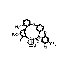 Cc1cccc2c1-c1cc(c(F)c(C(F)(F)F)c1)[C@H](CC(=O)O)NC(=O)[C@H](n1cc(Cl)c(C(F)(F)F)cc1=O)c1cccc(c1)O2